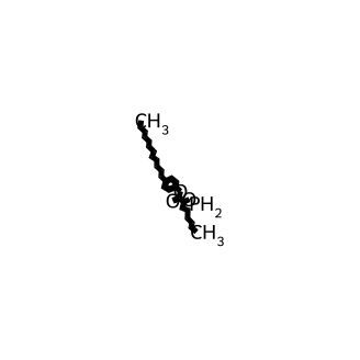 CCCCCCCCCCCCc1ccc(OC(=O)C(CCCCCC)OP)cc1